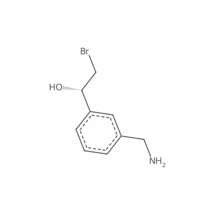 NCc1cccc([C@H](O)CBr)c1